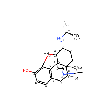 CC[C@H](C)[C@H](N[C@@H]1CCC2(OC)[C@H]3Cc4ccc(O)c5c4[C@@]2(CCN3C)[C@H]1O5)C(=O)O